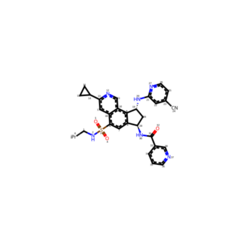 CC(C)CNS(=O)(=O)c1cc2c(c3cnc(C4CC4)cc13)[C@H](Nc1cc(C#N)ccn1)C[C@H]2NC(=O)c1cccnc1